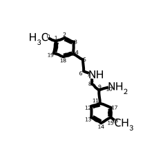 Cc1ccc(CCNCC(N)c2cccc(C)c2)cc1